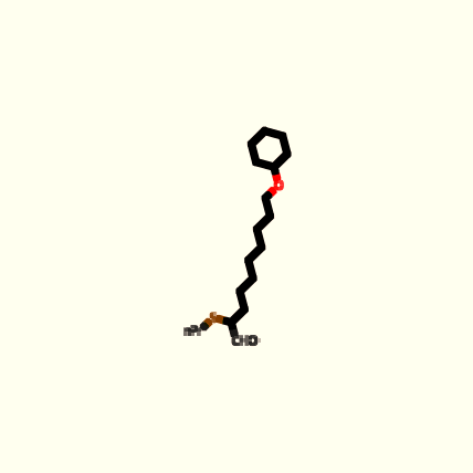 CCCSC([C]=O)CCCCCCCCOC1CC[CH]CC1